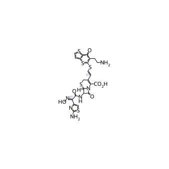 NCCc1c(S/C=C/C2=C(C(=O)O)N3C(=O)C(NC(=O)/C(=N/O)c4csc(N)n4)[C@H]3SC2)sc2ccsc2c1=O